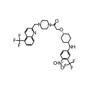 O=C(CO[C@H]1CC[C@H](Nc2ccc([N+](=O)[O-])c(C(F)(F)F)c2)CC1)N1CCN(Cc2ccc3c(C(F)(F)F)cccc3n2)CC1